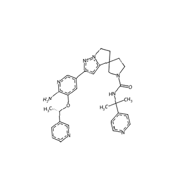 C[C@H](Oc1cc(-c2cc3n(n2)CCC32CCN(C(=O)NC(C)(C)c3ccncc3)C2)cnc1N)c1cccnc1